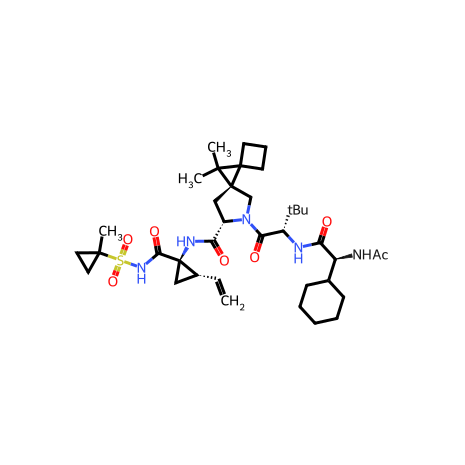 C=C[C@@H]1C[C@]1(NC(=O)[C@@H]1C[C@@]2(CN1C(=O)[C@@H](NC(=O)[C@@H](NC(C)=O)C1CCCCC1)C(C)(C)C)C(C)(C)C21CCC1)C(=O)NS(=O)(=O)C1(C)CC1